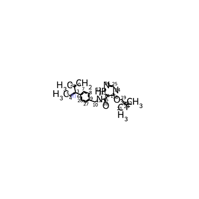 C=C(C)/C(=C\C)c1ccc(CN2C[PH]3=C(C2=O)C(OCC(C)(C)F)=NC=N3)cc1